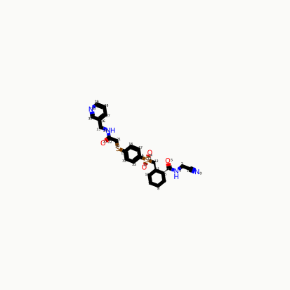 N#CCNC(=O)[C@@H]1CCCC[C@H]1CS(=O)(=O)c1ccc(SCC(=O)NCc2cccnc2)cc1